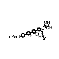 C=C(C)NOCCc1cc(-c2ccc(-c3ccc(C4CCC(CCCCC)CC4)cc3F)cc2CC)ccc1OCC(CC)(CO)CO